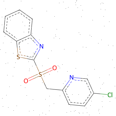 O=S(=O)(Cc1ccc(Cl)cn1)c1nc2ccccc2s1